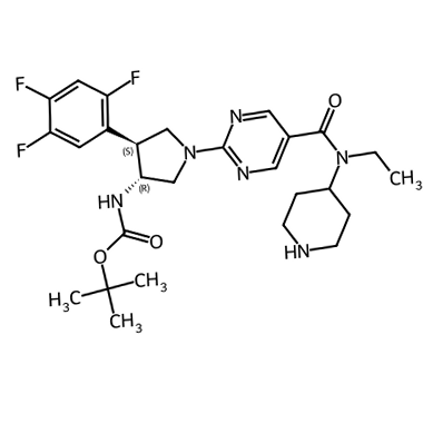 CCN(C(=O)c1cnc(N2C[C@H](NC(=O)OC(C)(C)C)[C@@H](c3cc(F)c(F)cc3F)C2)nc1)C1CCNCC1